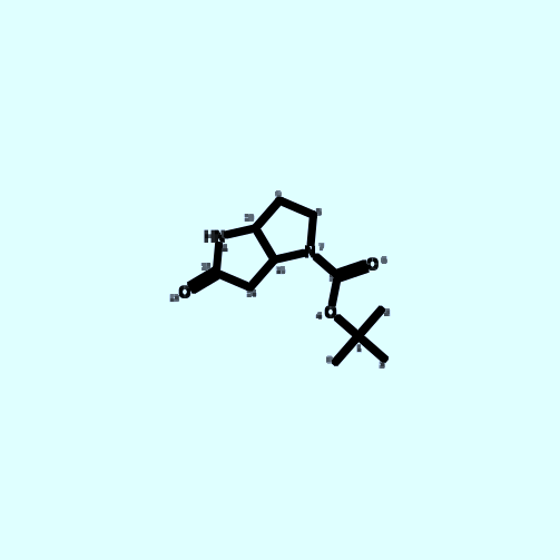 CC(C)(C)OC(=O)N1CCC2NC(=O)CC21